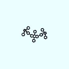 C1=CCCC(c2ccc(C3=CCCC=C3)n2-c2ccc(-c3ccc4c(-c5ccccc5)c5ccc(-c6ccc(-n7c(-c8ccccc8)ccc7-c7ccccc7)cc6)cc5c(-c5ccccc5)c4c3)cc2)=C1